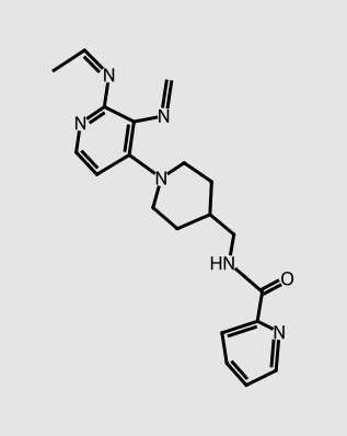 C=Nc1c(N2CCC(CNC(=O)c3ccccn3)CC2)ccnc1/N=C\C